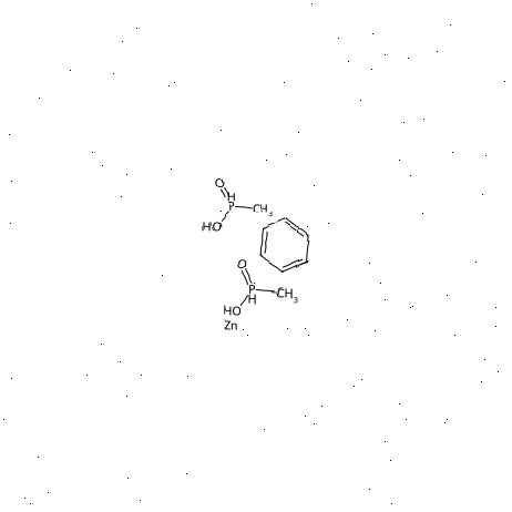 C[PH](=O)O.C[PH](=O)O.[Zn].c1ccccc1